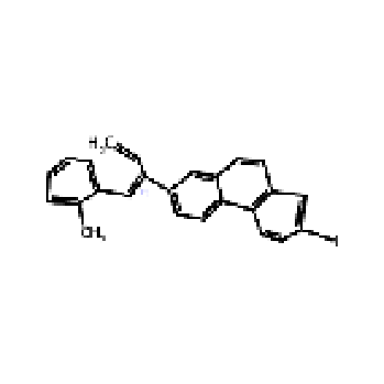 C=C/C(=C\c1ccccc1C)c1ccc2c(ccc3cc(I)ccc32)c1